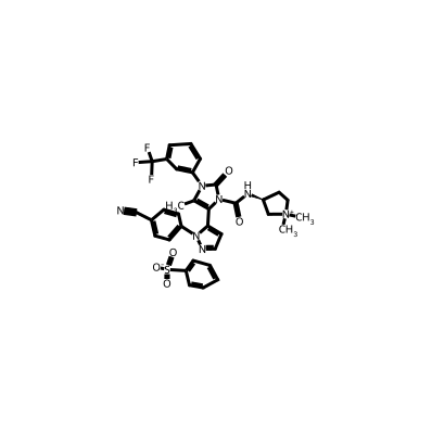 Cc1c(-c2ccnn2-c2ccc(C#N)cc2)n(C(=O)N[C@H]2CC[N+](C)(C)C2)c(=O)n1-c1cccc(C(F)(F)F)c1.O=S(=O)([O-])c1ccccc1